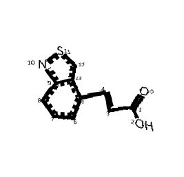 O=C(O)C=Cc1cccc2nscc12